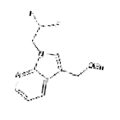 CC(C)COCc1cn(CC(F)F)c2ncccc12